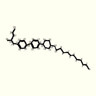 CCCCCCCCCCCCC1CCC(c2ccc(-c3ccc(CC(C)CCC)cc3)cc2)CC1